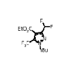 CCCCn1nc(C(F)F)c(C(=O)OCC)c1C(F)(F)F